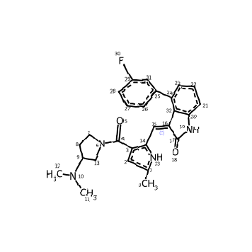 Cc1cc(C(=O)N2CCC(N(C)C)C2)c(/C=C2\C(=O)Nc3cccc(-c4cccc(F)c4)c32)[nH]1